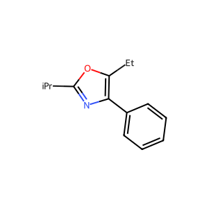 CCc1oc(C(C)C)nc1-c1ccccc1